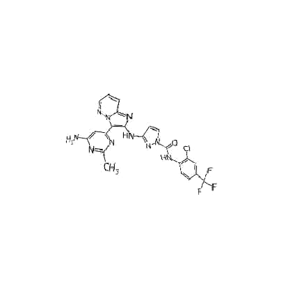 Cc1nc(N)cc(-c2c(Nc3ccn(C(=O)Nc4ccc(C(F)(F)F)cc4Cl)n3)nc3cccnn23)n1